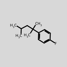 CC(C)CC(C)(C)c1ccc(F)cc1